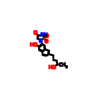 CC(O)CCCc1ccc2cc(O)c(N3CC(=O)NS3(=O)=O)cc2c1